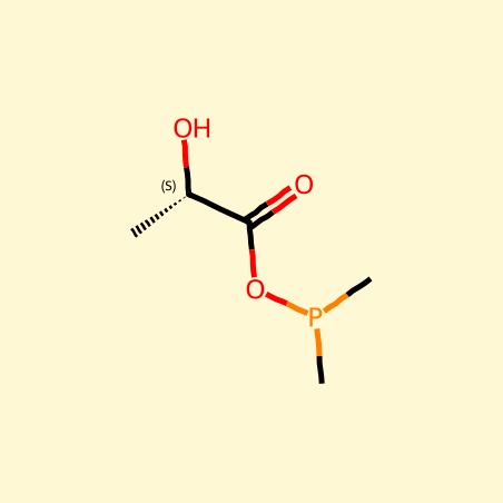 C[C@H](O)C(=O)OP(C)C